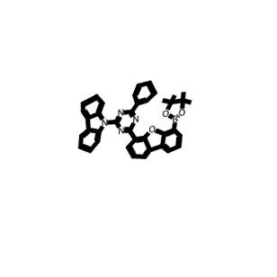 CC1(C)OB(c2cccc3c2oc2c(-c4nc(-c5ccccc5)nc(-n5c6ccccc6c6ccccc65)n4)cccc23)OC1(C)C